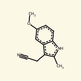 COc1ccc2[nH]c(C)c(CC#N)c2c1